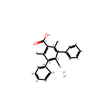 Cc1c(C([O])=O)c(C)c(-c2ccccc2)c(C)c1-c1ccccc1.[P]